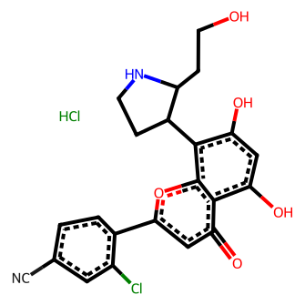 Cl.N#Cc1ccc(-c2cc(=O)c3c(O)cc(O)c(C4CCNC4CCO)c3o2)c(Cl)c1